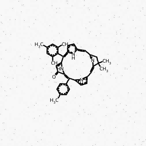 Cc1ccc(C2=C3NC(=CC3=O)C(c3c(C)cc(C)cc3C)=c3ccc([nH]3)=CC3=NC(=Cc4ccc2[nH]4)C(C)(C)C3)cc1